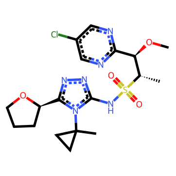 CO[C@H](c1ncc(Cl)cn1)[C@H](C)S(=O)(=O)Nc1nnc([C@H]2CCCO2)n1C1(C)CC1